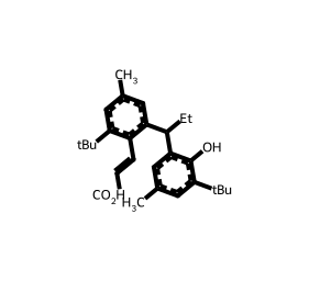 CCC(c1cc(C)cc(C(C)(C)C)c1O)c1cc(C)cc(C(C)(C)C)c1C=CC(=O)O